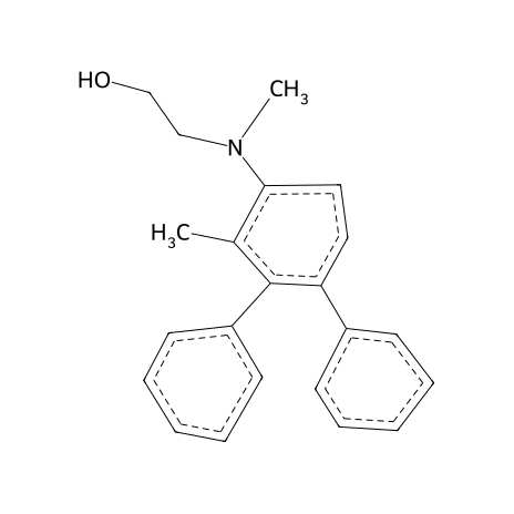 Cc1c(N(C)CCO)ccc(-c2ccccc2)c1-c1ccccc1